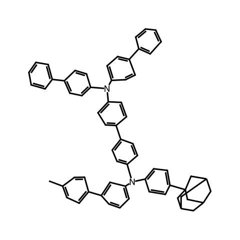 Cc1ccc(-c2cccc(N(c3ccc(-c4ccc(N(c5ccc(-c6ccccc6)cc5)c5ccc(-c6ccccc6)cc5)cc4)cc3)c3ccc(C45CC6CC(CC(C6)C4)C5)cc3)c2)cc1